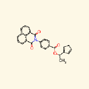 CC(OC(=O)c1ccc(N2C(=O)c3cccc4cccc(c34)C2=O)cc1)C1=CCC=C1